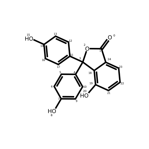 O=C1OC(c2ccc(O)cc2)(c2ccc(O)cc2)c2c(O)cccc21